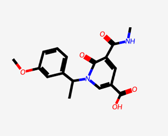 CNC(=O)c1cc(C(=O)O)cn(C(C)c2cccc(OC)c2)c1=O